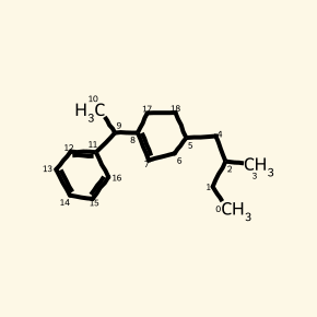 CCC(C)CC1CC=C(C(C)c2ccccc2)CC1